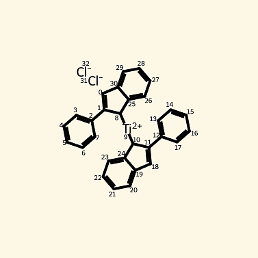 C1=C(c2ccccc2)[CH]([Ti+2][CH]2C(c3ccccc3)=Cc3ccccc32)c2ccccc21.[Cl-].[Cl-]